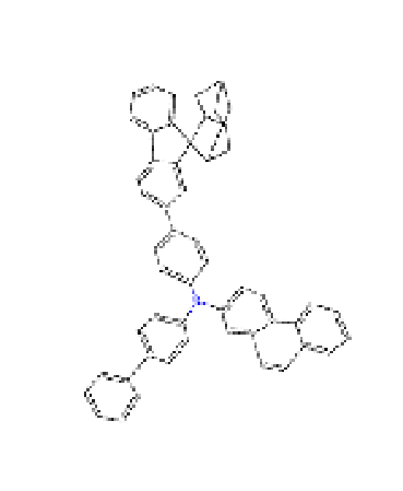 c1ccc(-c2ccc(N(c3ccc(-c4ccc5c(c4)C4(c6ccccc6-5)C5CC6CC(C5)C4C6)cc3)c3ccc4c(ccc5ccccc54)c3)cc2)cc1